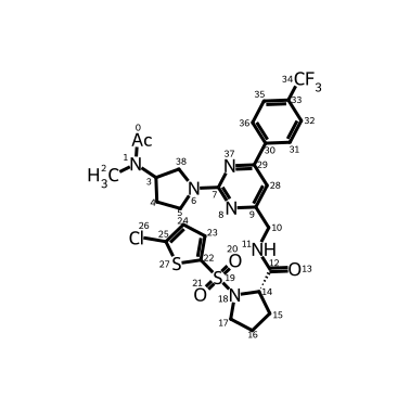 CC(=O)N(C)C1CCN(c2nc(CNC(=O)[C@@H]3CCCN3S(=O)(=O)c3ccc(Cl)s3)cc(-c3ccc(C(F)(F)F)cc3)n2)C1